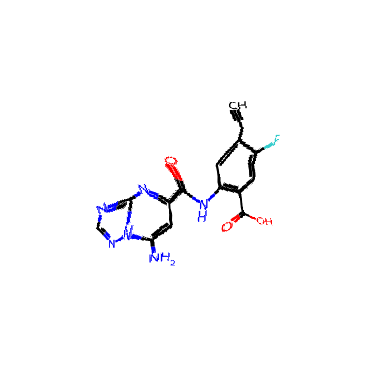 C#Cc1cc(NC(=O)c2cc(N)n3ncnc3n2)c(C(=O)O)cc1F